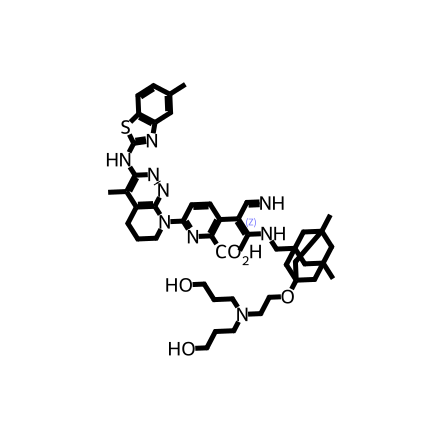 C/C(NCC12CC3(C)CC(C)(C1)CC(OCCN(CCCO)CCCO)(C3)C2)=C(/C=N)c1ccc(N2CCCc3c2nnc(Nc2nc4cc(C)ccc4s2)c3C)nc1C(=O)O